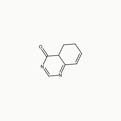 O=C1N=CN=C2C=CCCC12